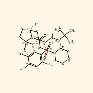 CC(C)(C)[S@+]([O-])N[C@H](Cc1cc(F)c(F)cc1F)[C@@H]1C[C@H]2CC[C@@H](C1)N2C(=O)CS(=O)(=O)N1CCOCC1